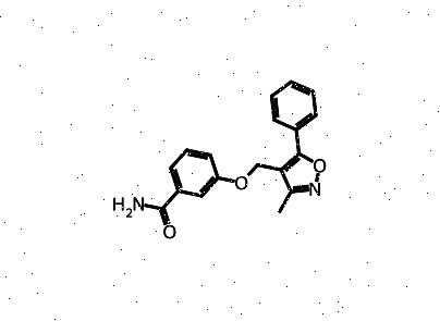 Cc1noc(-c2ccccc2)c1COc1cccc(C(N)=O)c1